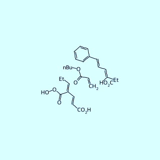 C=CC(=O)OCCCC.CCC(=CC=Cc1ccccc1)C(=O)O.CCC=C(C=CC(=O)O)C(=O)OO